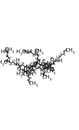 CCCCCCNC(=O)CC(NC(C)C)C(=O)C(C)(C)C(C)(CCC)NC(CC(=O)C(C)(CC)C(C)NC(CC(=O)NCCCN(C)CCCNC)C(=O)C(C)(C)NCCCC)C(=O)NCCCN(C)CCCNC